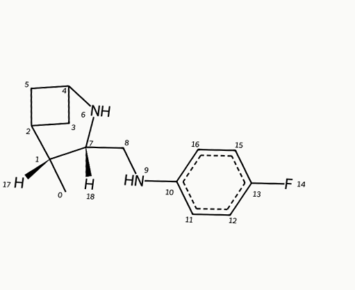 C[C@@H]1C2CC(C2)N[C@@H]1CNc1ccc(F)cc1